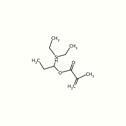 C=C(C)C(=O)OC(CC)[SiH](CC)CC